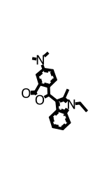 CCn1c(C)c(C2OC(=O)c3cc(N(C)C)ccc32)c2ccccc21